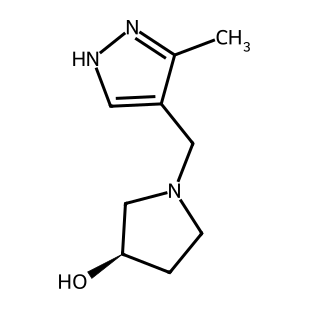 Cc1n[nH]cc1CN1CC[C@@H](O)C1